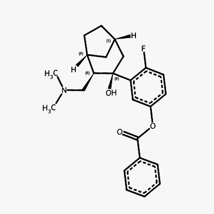 CN(C)C[C@H]1[C@@H]2CC[C@@H](C2)C[C@]1(O)c1cc(OC(=O)c2ccccc2)ccc1F